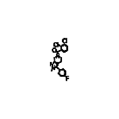 Cn1nc2c(c1-c1ccc(F)cc1)CCN(C(=O)c1cccc(Cl)c1Cl)C2